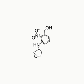 O=[N+]([O-])c1c(CO)cccc1NC1CCOC1